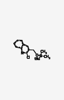 CC(C)(C)[Si](C)(C)OCc1cc2ccccc2nc1Cl